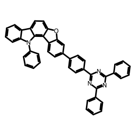 c1ccc(-c2nc(-c3ccccc3)nc(-c3ccc(-c4ccc5c(c4)oc4ccc6c7ccccc7n(-c7ccccc7)c6c45)cc3)n2)cc1